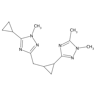 Cc1nc(C2CC2Cc2nc(C3CC3)n(C)n2)nn1C